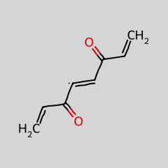 C=CC(=O)[C]=CC(=O)C=C